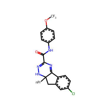 CCCC12Cc3cc(Cl)ccc3C1=NC(C(=O)Nc1ccc(OC(F)(F)F)cc1)=NN2